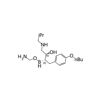 CCCCOc1ccc(C[C@H](BOCN)[C@H](O)CNCC(C)C)cc1